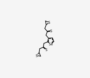 S=C(Cc1cc[se]c1CC(=S)CC1CS1)CC1CS1